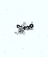 Cc1[nH]c(/C=C2\C(=O)Nc3ccc(F)cc32)c(C)c1NC(=O)C1CCCCN1C(=O)OC(C)(C)C